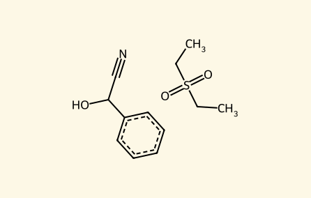 CCS(=O)(=O)CC.N#CC(O)c1ccccc1